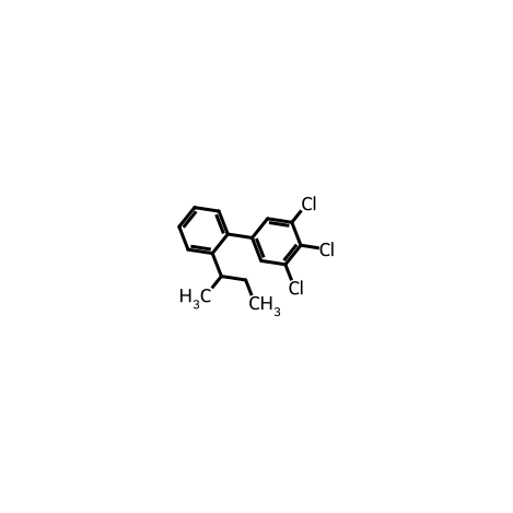 CCC(C)c1ccccc1-c1cc(Cl)c(Cl)c(Cl)c1